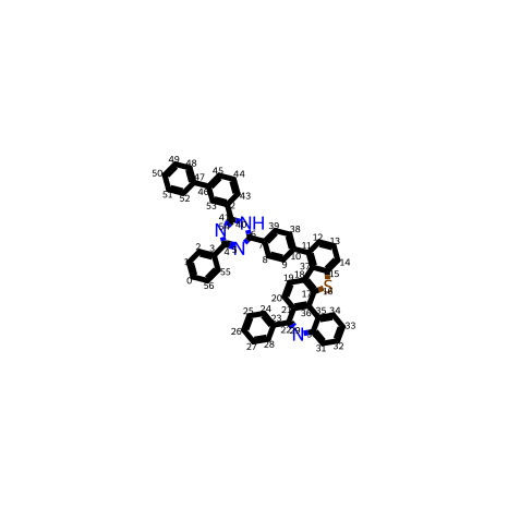 c1ccc(C2=NC(c3ccc(-c4cccc5sc6c(ccc7c(-c8ccccc8)nc8ccccc8c76)c45)cc3)NC(c3cccc(-c4ccccc4)c3)=N2)cc1